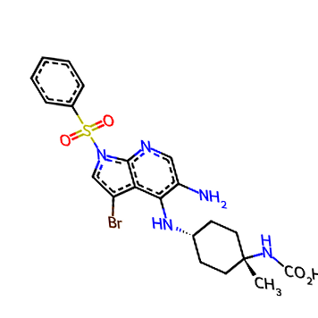 C[C@]1(NC(=O)O)CC[C@@H](Nc2c(N)cnc3c2c(Br)cn3S(=O)(=O)c2ccccc2)CC1